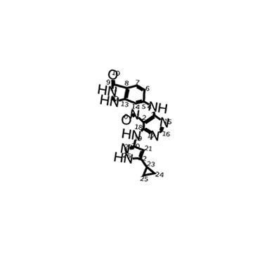 O=Nc1c(Nc2ccc3c(=O)[nH][nH]c3c2)ncnc1Nc1cc(C2CC2)[nH]n1